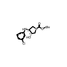 CC(C)(C)OC(=O)N1C[C@H](Nc2cccc(Cl)c2)[C@@H](O)C1